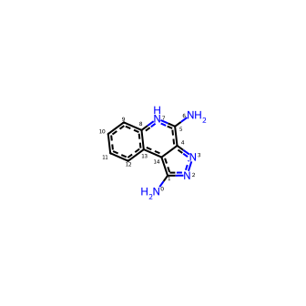 Nc1nnc2c(N)[nH]c3ccccc3c1-2